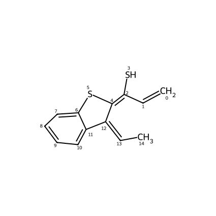 C=C/C(S)=c1/sc2ccccc2/c1=C/C